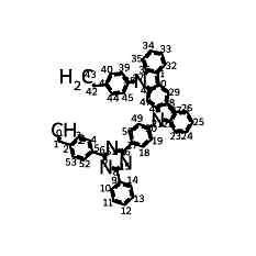 C=Cc1ccc(-c2nc(-c3ccccc3)nc(-c3ccc(-n4c5ccccc5c5cc6c7ccccc7n(-c7ccc(C=C)cc7)c6cc54)cc3)n2)cc1